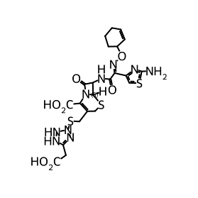 Nc1nc(C(=NOC2C=CCCC2)C(=O)NC2C(=O)N3C(C(=O)O)=C(CSN4N=C(CC(=O)O)NN4)CS[C@@H]23)cs1